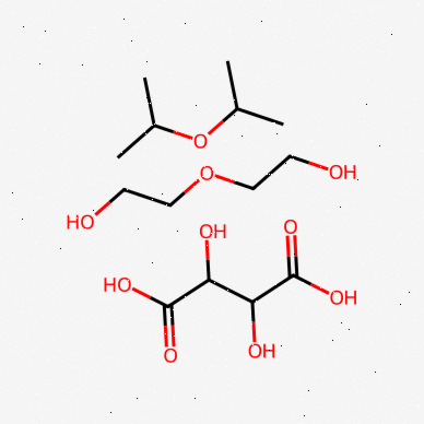 CC(C)OC(C)C.O=C(O)C(O)C(O)C(=O)O.OCCOCCO